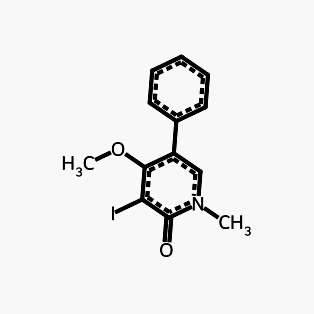 COc1c(-c2ccccc2)cn(C)c(=O)c1I